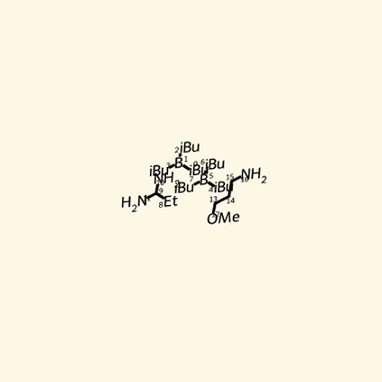 CCC(C)B(C(C)CC)C(C)CC.CCC(C)B(C(C)CC)C(C)CC.CCC(N)N.COCCCN